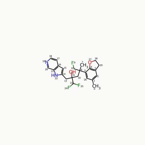 Cc1cc2c(c(C(C)(CF)CC(O)(Cc3cc4ccncc4[nH]3)C(F)F)c1)OCC2